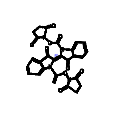 C=C(ON1C(=O)CCC1=O)N1/C(=C2\C(=O)c3ccccc3N2C(=O)ON2C(=O)CCC2=O)C(=O)c2ccccc21